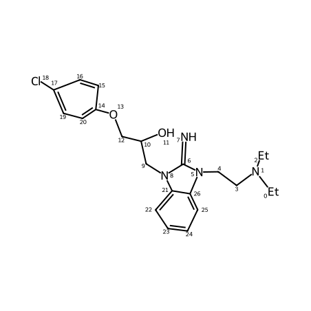 CCN(CC)CCn1c(=N)n(CC(O)COc2ccc(Cl)cc2)c2ccccc21